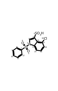 O=S(=O)(O)c1cn(S(=O)(=O)c2ccccc2)c2cccc(Cl)c12